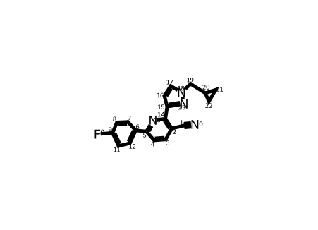 N#Cc1ccc(-c2ccc(F)cc2)nc1-c1ccn(CC2CC2)n1